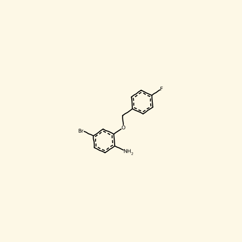 Nc1ccc(Br)cc1OCc1ccc(F)cc1